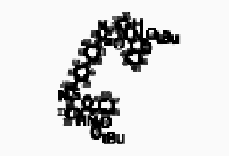 CC(C)(C)OC(=O)N[C@@H](C(=O)N1CCC[C@H]1c1ncc(-c2ccc(-c3ccc(-c4cnc([C@@H]5CCCN5C(=O)[C@H](NC(=O)OC(C)(C)C)c5ccccc5)s4)cc3)cc2)s1)c1ccccc1